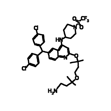 CC(C)(CCN)OCCC(C)(C)Oc1cc(NC2CCN(S(=O)(=O)C(F)(F)F)CC2)c2cc(C(c3ccc(Cl)cc3)c3ccc(Cl)cc3)ccc2n1